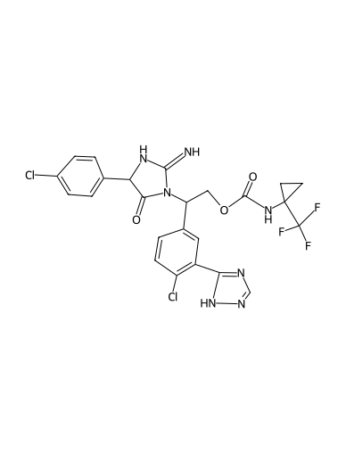 N=C1NC(c2ccc(Cl)cc2)C(=O)N1C(COC(=O)NC1(C(F)(F)F)CC1)c1ccc(Cl)c(-c2ncn[nH]2)c1